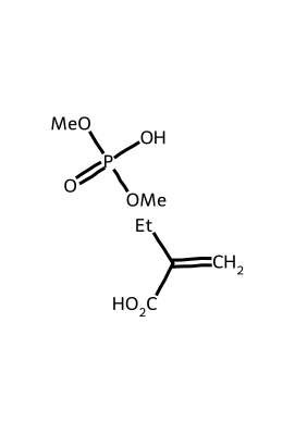 C=C(CC)C(=O)O.COP(=O)(O)OC